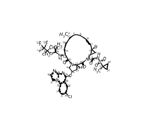 C[C@@H]1CC/C=C\[C@@H]2C[C@@]2(C(=O)NS(=O)(=O)C2(C)CC2)NC(=O)[C@@H]2C[C@@H](Oc3nc4nccn4c4ccc(Cl)cc34)CN2C(=O)[C@@H](NC(=O)OC(C)(C)C(F)(F)F)[C@H](C)C1